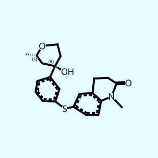 C[C@H]1C[C@@](O)(c2cccc(Sc3ccc4c(c3)CCC(=O)N4C)c2)CCO1